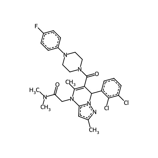 CC1=C(C(=O)N2CCN(c3ccc(F)cc3)CC2)C(c2cccc(Cl)c2Cl)n2nc(C)cc2N1CC(=O)N(C)C